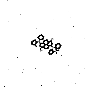 Cc1ccccc1N(c1ccccc1)c1cc(C(C)C)c2ccc3c(N(c4ccccc4)c4ccccc4[Si](C)(C)C)cc(C(C)C)c4ccc1c2c43